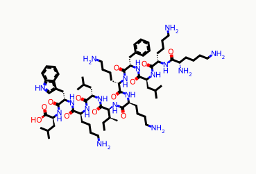 CC[C@H](C)[C@H](NC(=O)[C@H](CCCCN)NC(=O)[C@H](CCCCN)NC(=O)[C@H](Cc1ccccc1)NC(=O)[C@H](CC(C)C)NC(=O)[C@H](CCCCN)NC(=O)[C@@H](N)CCCCN)C(=O)N[C@@H](CC(C)C)C(=O)N[C@@H](CCCCN)C(=O)N[C@@H](Cc1c[nH]c2ccccc12)C(=O)N[C@@H](CC(C)C)C(=O)O